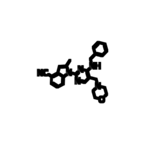 Cc1cc2c(C#N)cccc2n1-c1ncc(CN2CCOCC2)c(NCc2ccccc2)n1